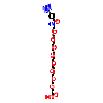 O=C(O)CCOCCOCCOCCOCCOCCOCCOCCOCCNC(=O)c1ccc(-c2nncnn2)cc1